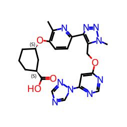 Cc1nc(-c2nnn(C)c2COc2cc(-n3cncn3)ncn2)ccc1O[C@H]1CCC[C@H](C(=O)O)C1